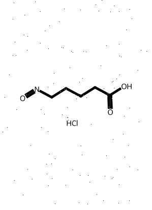 Cl.O=NCCCCC(=O)O